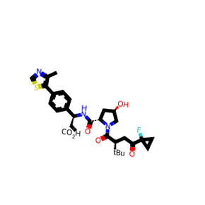 Cc1ncsc1-c1ccc([C@H](CC(=O)O)NC(=O)[C@@H]2C[C@@H](O)CN2C(=O)[C@@H](CC(=O)C2(F)CC2)C(C)(C)C)cc1